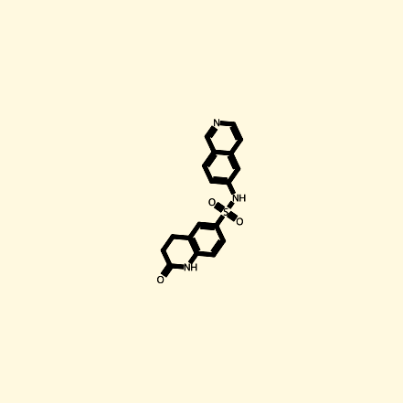 O=C1CCc2cc(S(=O)(=O)Nc3ccc4cnccc4c3)ccc2N1